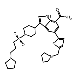 NC(=O)c1cc(-c2ccc(CN3CCCC3)s2)cc2c(C3CCN(S(=O)(=O)CCCN4CCCC4)CC3)c[nH]c12